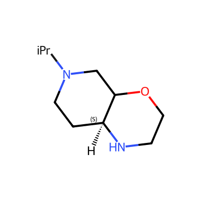 CC(C)N1CC[C@@H]2NCCOC2C1